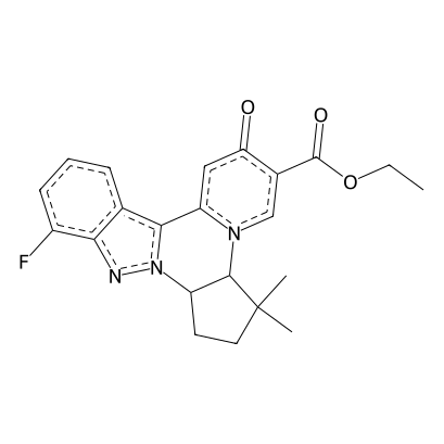 CCOC(=O)c1cn2c(cc1=O)-c1c3cccc(F)c3nn1C1CCC(C)(C)C12